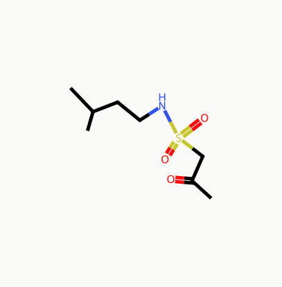 CC(=O)CS(=O)(=O)NCCC(C)C